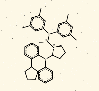 Cc1cc(C)cc(P(c2cc(C)cc(C)c2)[C@@H](C)[C@H]2CCCC2P(c2ccccc2)c2ccccc2C2CCCC2)c1